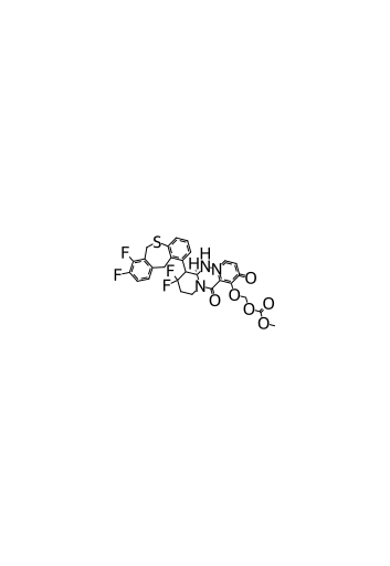 COC(=O)OCOc1c2n(ccc1=O)N[C@@H]1C(c3cccc4c3Cc3ccc(F)c(F)c3CS4)C(F)(F)CCN1C2=O